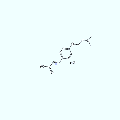 CN(C)CCOc1ccc(/C=C/C(=O)O)cc1.Cl